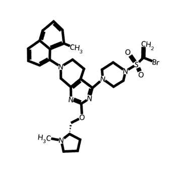 C=C(Br)S(=O)(=O)N1CCN(c2nc(OC[C@@H]3CCCN3C)nc3c2CCN(c2cccc4cccc(C)c24)C3)CC1